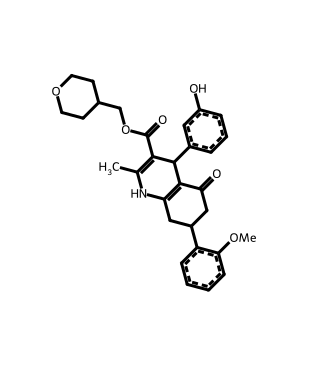 COc1ccccc1C1CC(=O)C2=C(C1)NC(C)=C(C(=O)OCC1CCOCC1)C2c1cccc(O)c1